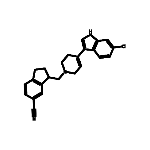 N#Cc1ccc2c(c1)C(CN1CC=C(c3c[nH]c4cc(Cl)ccc34)CC1)CC2